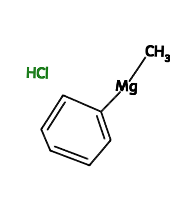 Cl.[CH3][Mg][c]1ccccc1